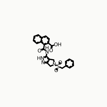 O=C(O)c1ccc2ccccc2c1C(=O)Nc1[nH]nc2c1CN(S(=O)(=O)Cc1ccccc1)C2